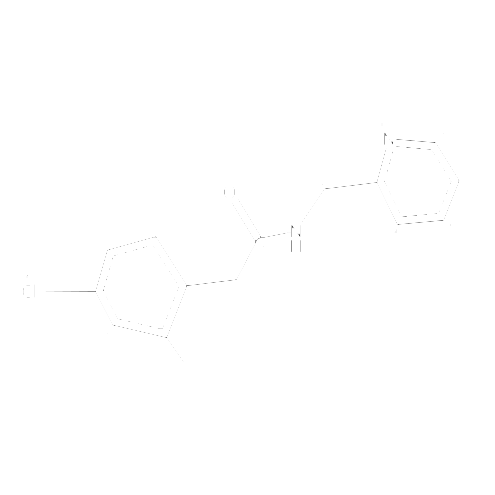 Cc1cc(Cl)ccc1CC(=O)NCc1ccccn1